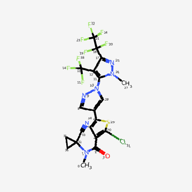 CN(C(=O)c1cc(-c2cnn(-c3c(C(F)(F)F)c(C(F)(F)C(F)(F)F)nn3C)c2)sc1Cl)C1(C#N)CC1